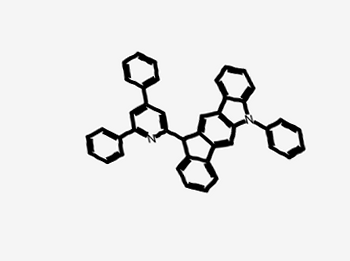 c1ccc(-c2cc(-c3ccccc3)nc(C3c4ccccc4-c4cc5c(cc43)c3ccccc3n5-c3ccccc3)c2)cc1